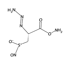 NN=N[C@@H](C[S+]([O-])N=O)C(=O)ON